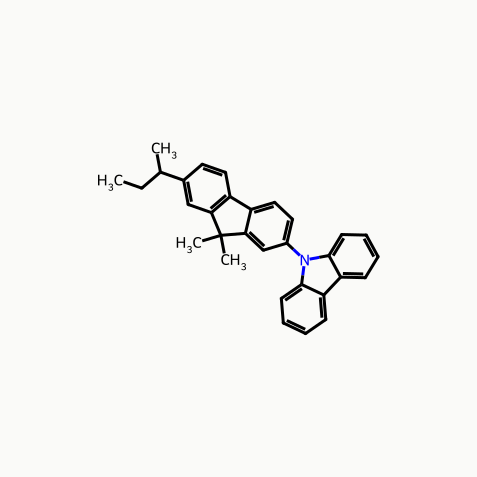 CCC(C)c1ccc2c(c1)C(C)(C)c1cc(-n3c4ccccc4c4ccccc43)ccc1-2